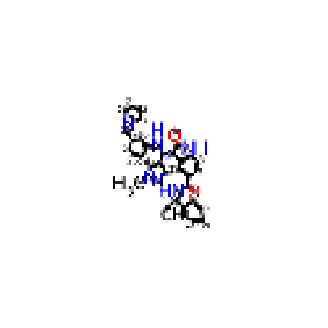 CC[C@@H](NC(=O)c1ccc2c(c1)/C(=C(/NC1=CC(CN3CCCC3)CC=C1)c1cnn(C)c1)C(=O)N2)c1ccccc1